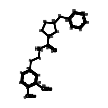 COc1ccc(CCNC(=O)N2CCC(Cc3cccnc3)C2)cc1OC